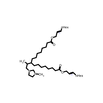 CCCCCC/C=C/COC(=O)CCCCCCCC(CCCCCCCC(=O)OC/C=C/CCCCCC)C(C)CN1CCN(C)C1